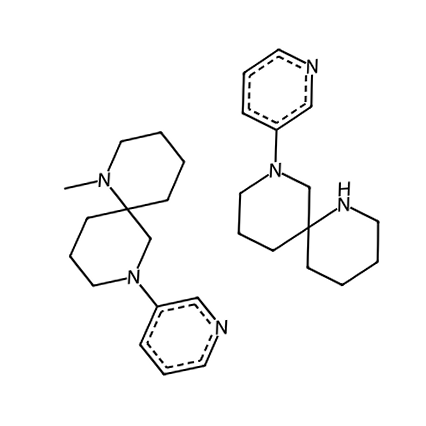 CN1CCCCC12CCCN(c1cccnc1)C2.c1cncc(N2CCCC3(CCCCN3)C2)c1